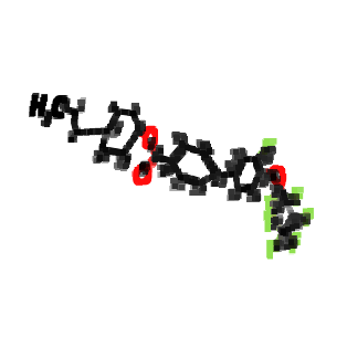 CCCC1CCC(OC(=O)c2ccc(-c3ccc(OC(F)(F)C(F)C(F)(F)F)c(F)c3)cc2)CC1